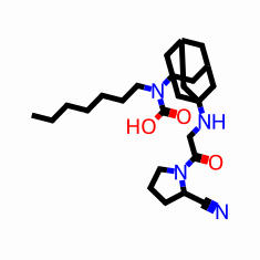 CCCCCCCN(C(=O)O)C12CC3CC(CC(NCC(=O)N4CCCC4C#N)(C3)C1)C2